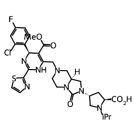 COC(=O)C1=C(CN2CCN3C(=O)N([C@@H]4C[C@@H](C(=O)O)N(C(C)C)C4)C[C@@H]3C2)NC(c2nccs2)=N[C@H]1c1ccc(F)cc1Cl